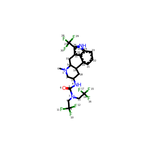 CN1CC(NC(=O)N(CC(F)(F)F)CC(F)(F)F)CC2c3cccc4[nH]c(C(F)(F)F)c(c34)CC21